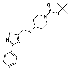 CC(C)(C)OC(=O)N1CCC(NCc2nc(-c3ccncc3)no2)CC1